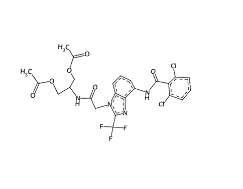 CC(=O)OCC(COC(C)=O)NC(=O)Cn1c(C(F)(F)F)nc2c(NC(=O)c3c(Cl)cccc3Cl)cccc21